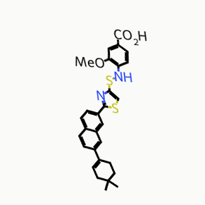 COc1cc(C(=O)O)ccc1NSc1csc(-c2ccc3ccc(C4=CCC(C)(C)CC4)cc3c2)n1